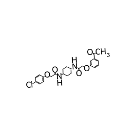 CC(=O)c1cccc(OCC(=O)N[C@H]2CC[C@H](NC(=O)COc3ccc(Cl)cc3)CC2)c1